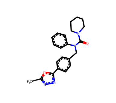 O=C(N1CCCCC1)N(Cc1ccc(-c2nnc(C(F)(F)F)o2)cc1)c1ccccc1